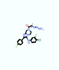 C[C@H](N=NN)C(=O)N1CCn2c(nc(-c3ccc(F)cc3)c2Nc2ccc(Cl)c(F)c2)C1